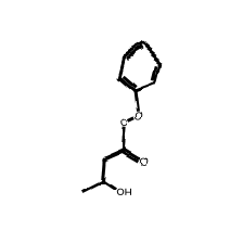 CC(O)CC(=O)OOc1ccccc1